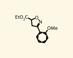 CCOC(=O)C1CC(c2ccccc2OC)=NO1